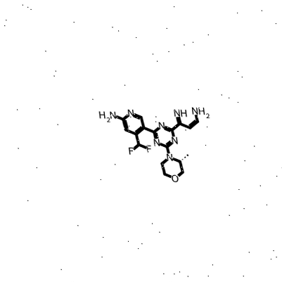 C[C@@H]1COCCN1c1nc(C(=N)/C=C\N)nc(-c2cnc(N)cc2C(F)F)n1